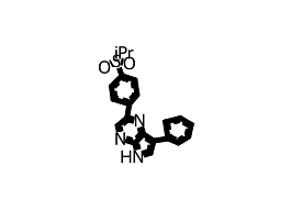 CC(C)S(=O)(=O)c1ccc(-c2cnc3[nH]cc(-c4ccccc4)c3n2)cc1